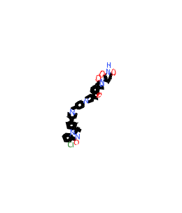 CC1(C)c2cc(C3CCN(CC4CCC(N5CCC6(CC5)COc5c6ccc6c5CN([C@H]5CCC(=O)NC5=O)C6=O)CC4)CC3)ccc2-n2c1nc(=O)c1c(Cl)cccc12